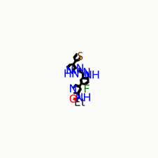 CCC(=O)Nc1cncc(-c2cc3c(-c4nc5c(-c6ccsc6)ccnc5[nH]4)n[nH]c3cc2F)c1